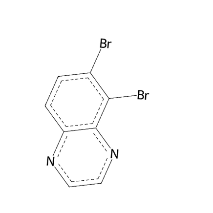 Brc1ccc2nccnc2c1Br